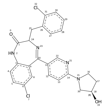 O=C1Nc2ccc(Cl)cc2C(c2ccc(N3CC[C@@H](O)C3)nc2)=NC1Cc1ccccc1Cl